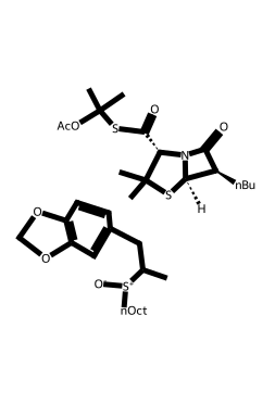 CCCCCCCC[S+]([O-])C(C)Cc1ccc2c(c1)OCO2.CCCC[C@@H]1C(=O)N2[C@@H]1SC(C)(C)[C@@H]2C(=O)SC(C)(C)OC(C)=O